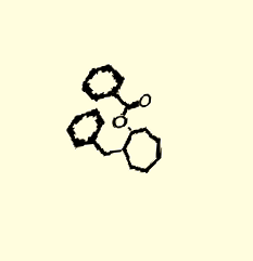 O=C(O[C@@H]1CCCCC[C@H]1Cc1ccccc1)c1ccccc1